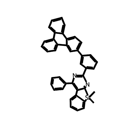 C[Si]1(C)c2ccccc2-c2c(-c3ccccc3)nc(-c3cccc(-c4ccc5c6ccccc6c6ccccc6c5c4)c3)nc21